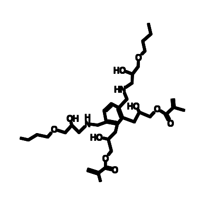 C=C(C)C(=O)OCC(O)Cc1c(CNCC(O)COCCCC)ccc(CNCC(O)COCCCC)c1CC(O)COC(=O)C(=C)C